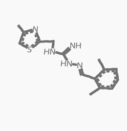 Cc1csc(CNC(=N)NN=Cc2c(C)cccc2C)n1